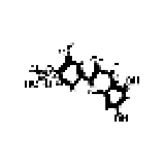 COc1cc(-c2oc3cc(O)cc(O)c3c(=O)c2O)ccc1OS(=O)(=O)O